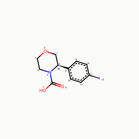 O=C(O)N1CCOC[C@H]1c1ccc(I)cc1